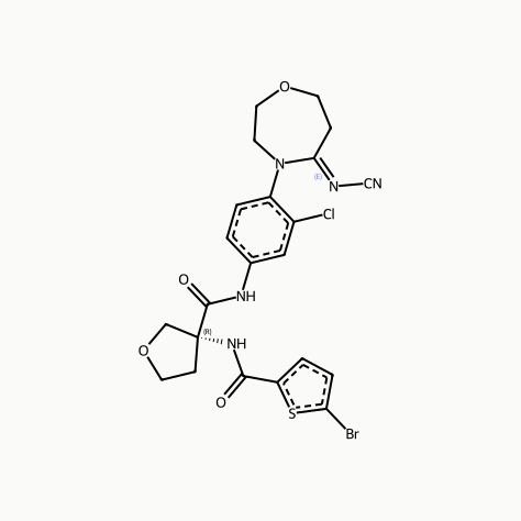 N#C/N=C1\CCOCCN1c1ccc(NC(=O)[C@@]2(NC(=O)c3ccc(Br)s3)CCOC2)cc1Cl